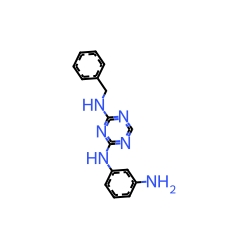 Nc1cccc(Nc2ncnc(NCc3ccccc3)n2)c1